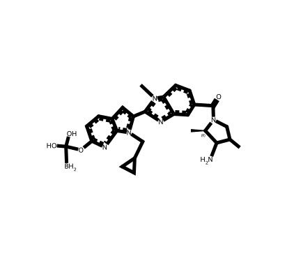 BC(O)(O)Oc1ccc2cc(-c3nc4cc(C(=O)N5CC(C)C(N)[C@H]5C)ccc4n3C)n(CC3CC3)c2n1